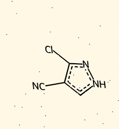 N#Cc1c[nH]nc1Cl